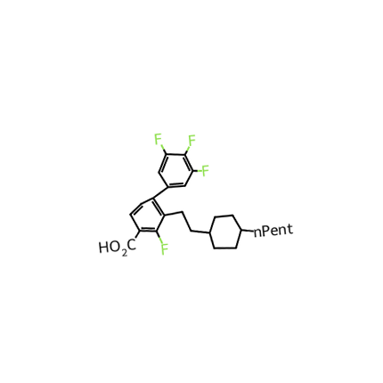 CCCCCC1CCC(CCc2c(-c3cc(F)c(F)c(F)c3)ccc(C(=O)O)c2F)CC1